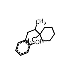 CC(Cc1ccccc1O)C1(C)CCCCC1